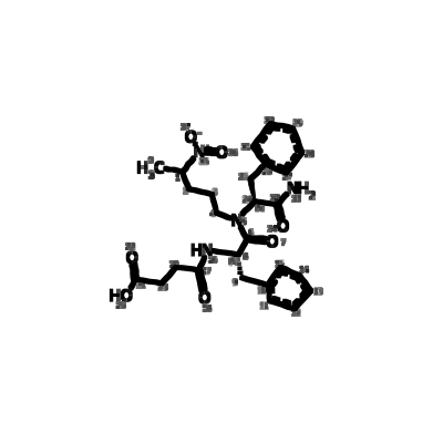 CC(CCCN(C(=O)[C@H](Cc1ccccc1)NC(=O)CCC(=O)O)[C@@H](Cc1ccccc1)C(N)=O)[N+](=O)[O-]